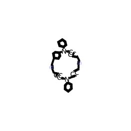 C1=C\c2ccc(cc2)N(c2ccccc2)c2ccc(cc2)/C=C\c2ccc(cc2)N(c2ccccc2)c2ccc/1cc2